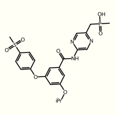 CC(C)Oc1cc(Oc2ccc(S(C)(=O)=O)cc2)cc(C(=O)Nc2cnc(CP(C)(=O)O)cn2)c1